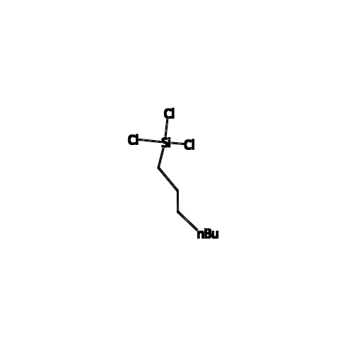 CCCCCCC[Si](Cl)(Cl)Cl